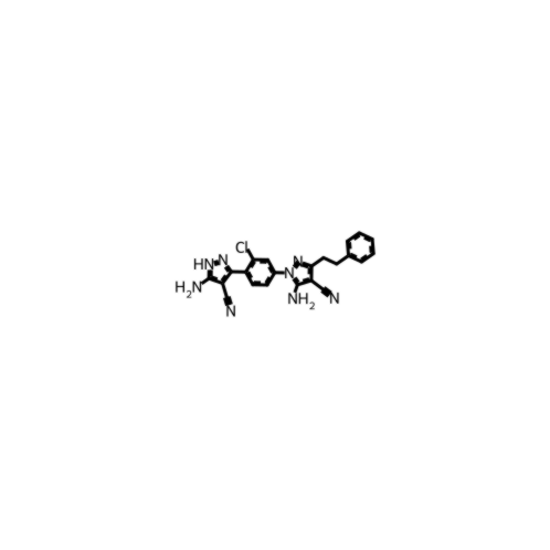 N#Cc1c(-c2ccc(-n3nc(CCc4ccccc4)c(C#N)c3N)cc2Cl)n[nH]c1N